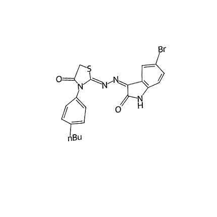 CCCCc1ccc(N2C(=O)CSC2=NN=C2C(=O)Nc3ccc(Br)cc32)cc1